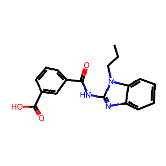 CCCn1c(NC(=O)c2cccc(C(=O)O)c2)nc2ccccc21